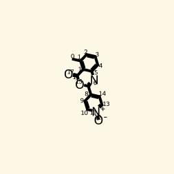 Cc1cccc2nc(-c3cc[n+]([O-])cc3)oc(=O)c12